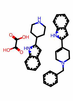 C1=C(c2cc3ccccc3[nH]2)CCN(Cc2ccccc2)C1.O=C(O)C(=O)O.c1ccc2[nH]c(C3CCNCC3)cc2c1